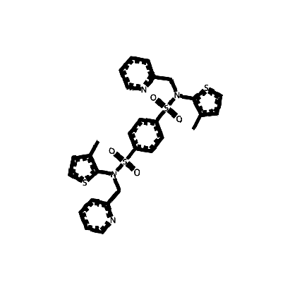 Cc1ccsc1N(Cc1ccccn1)S(=O)(=O)c1ccc(S(=O)(=O)N(Cc2ccccn2)c2sccc2C)cc1